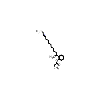 C=C(CCCCCCCC/C=C/CC)c1ccccc1OC(=O)CC